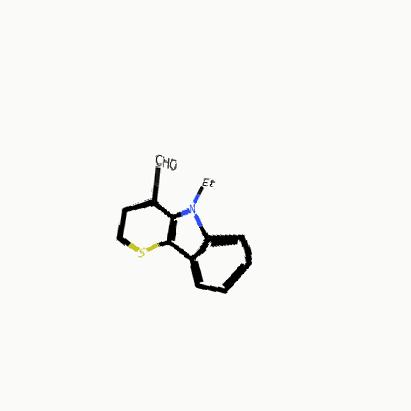 CCn1c2c(c3ccccc31)SCCC2C=O